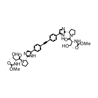 COC(=O)N[C@@H](C(=O)N1CCC[C@H]1c1ncc(-c2ccc(C#Cc3ccc(-c4cnc([C@@H]5CCCN5C(=O)[C@H](NC(=O)OC)[C@H](C)O)[nH]4)cc3)cc2)[nH]1)[C@H](C)O